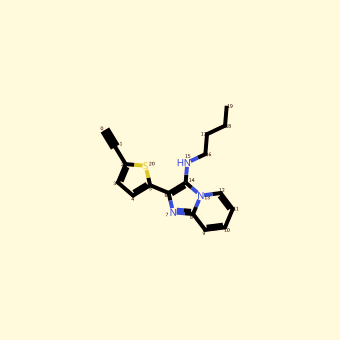 C#Cc1ccc(-c2nc3ccccn3c2NCCCC)s1